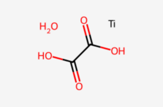 O.O=C(O)C(=O)O.[Ti]